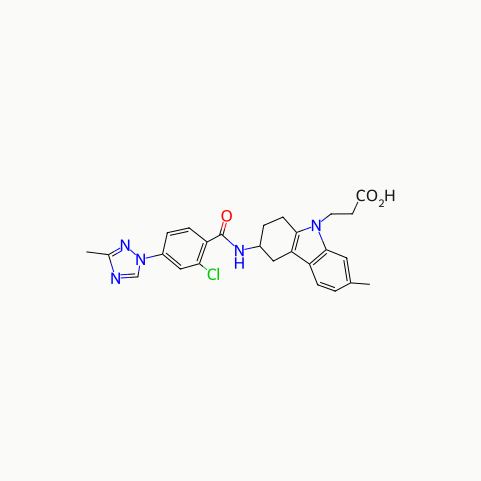 Cc1ccc2c3c(n(CCC(=O)O)c2c1)CCC(NC(=O)c1ccc(-n2cnc(C)n2)cc1Cl)C3